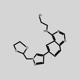 CC(C)CCNc1ncnc2ccc(-c3cnn(CC4OCCO4)c3)cc12